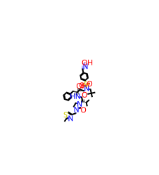 Cc1nc(CN2CCN([C@H](C(=O)N[C@@H](Cc3ccccc3)[C@H](O)CN(CC(C)(C)C)S(=O)(=O)c3ccc(/C=N/O)cc3)C(C)C)C2=O)cs1